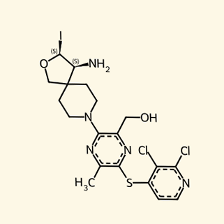 Cc1nc(N2CCC3(CC2)CO[C@@H](I)[C@H]3N)c(CO)nc1Sc1ccnc(Cl)c1Cl